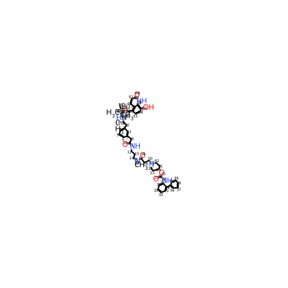 C[C@@H](Cc1cccc(CC(=O)NCCCN(C)C(=O)CCN2CCC(OC(=O)Nc3ccccc3-c3ccccc3)CC2)c1)NC[C@H](O[Si](C)(C)C(C)(C)C)c1ccc(O)c2[nH]c(=O)ccc12